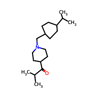 CC(C)C(=O)C1CCN(CC2CCC(C(C)C)CC2)CC1